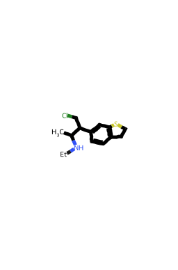 CCNC(C)C(CCl)c1ccc2c(c1)SCC2